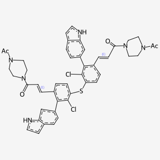 CC(=O)N1CCN(C(=O)/C=C/c2ccc(Sc3ccc(/C=C/C(=O)N4CCN(C(C)=O)CC4)c(-c4ccc5cc[nH]c5c4)c3Cl)c(Cl)c2-c2ccc3cc[nH]c3c2)CC1